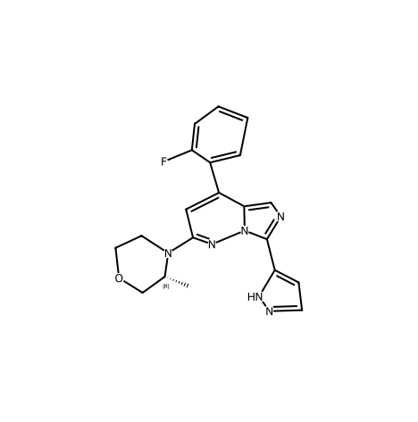 C[C@@H]1COCCN1c1cc(-c2ccccc2F)c2cnc(-c3ccn[nH]3)n2n1